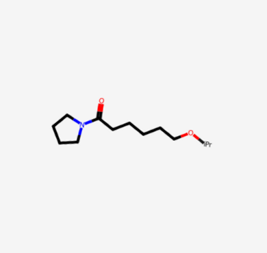 CC(C)OCCCCCC(=O)N1CCCC1